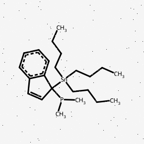 CCC[CH2][Sn]([CH2]CCC)([CH2]CCC)[C]1(P(C)C)C=Cc2ccccc21